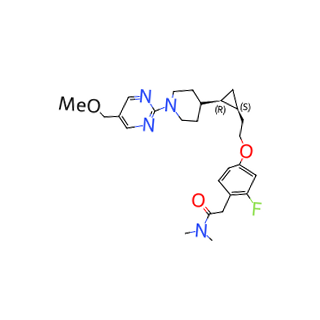 COCc1cnc(N2CCC([C@H]3C[C@H]3CCOc3ccc(CC(=O)N(C)C)c(F)c3)CC2)nc1